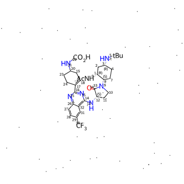 CC(=O)N[C@@H]1C[C@H](NC(C)(C)C)CC[C@@H]1N1CC[C@H](Nc2nc(C3=CCC(NC(=O)O)CC3)nc3ccc(C(F)(F)F)cc23)C1=O